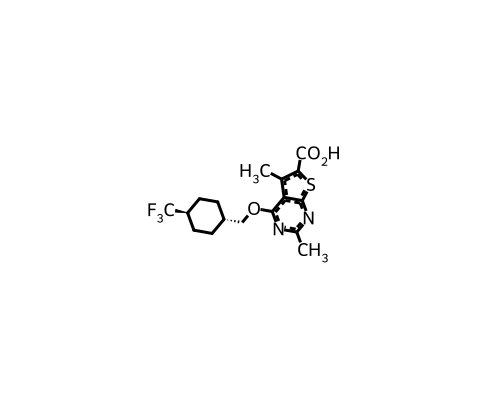 Cc1nc(OC[C@H]2CC[C@H](C(F)(F)F)CC2)c2c(C)c(C(=O)O)sc2n1